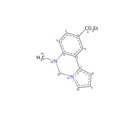 CCOC(=O)c1ccc2c(c1)-c1cccn1CN2C